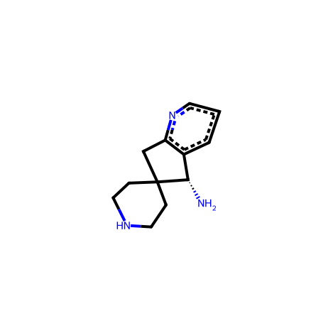 N[C@H]1c2cccnc2CC12CCNCC2